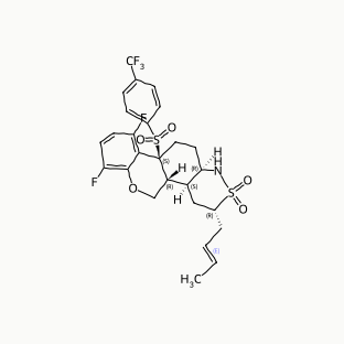 C/C=C/C[C@@H]1C[C@@H]2[C@@H](CC[C@@]3(S(=O)(=O)c4ccc(C(F)(F)F)cc4)c4c(F)ccc(F)c4OC[C@@H]23)NS1(=O)=O